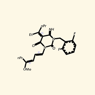 CCC/C(=C\C=C\N1C(=O)/C(=C(\CC)CCC)C(=N)N(Cc2c(F)cccc2F)C1=O)OC